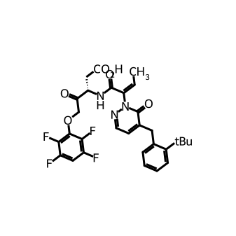 C/C=C(\C(=O)N[C@@H](CC(=O)O)C(=O)COc1c(F)c(F)cc(F)c1F)n1nccc(Cc2ccccc2C(C)(C)C)c1=O